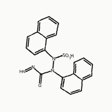 N=NC(=O)N(c1cccc2ccccc12)N(c1cccc2ccccc12)S(=O)(=O)O